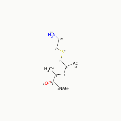 CNC(=O)C(C)CC(CSCCN)C(C)=O